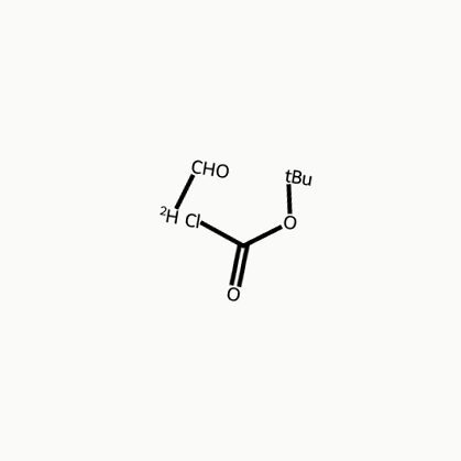 CC(C)(C)OC(=O)Cl.[2H]C=O